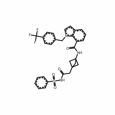 O=C(CC12CC(NC(=O)c3cccc4ccn(Cc5ccc(C(F)(F)F)cc5)c34)(C1)C2)NS(=O)(=O)c1ccccc1